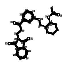 CC(=O)O[C@H]1CCCC[C@H]1COc1cccc(C(=O)CCN2C(=O)c3ccccc3C2=O)c1